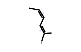 C/C=C\C=C(/C)I